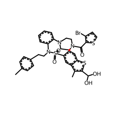 Cc1ccc(CCN(c2ccccc2N2CCN(C(=O)c3sccc3Br)CC2)S(=O)(=O)c2ccc3sc(C(O)O)c(C)c3c2)cc1